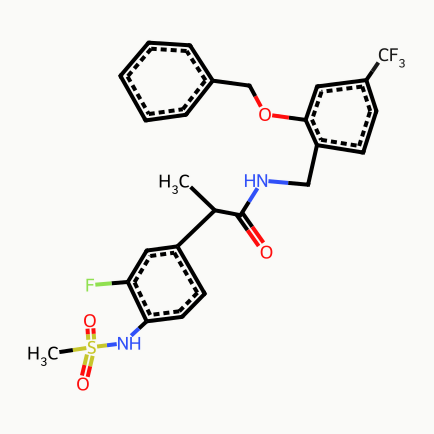 CC(C(=O)NCc1ccc(C(F)(F)F)cc1OCc1ccccc1)c1ccc(NS(C)(=O)=O)c(F)c1